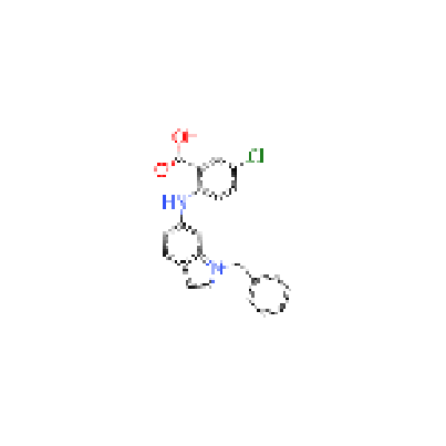 O=C(O)c1cc(Cl)ccc1Nc1ccc2ccn(Cc3ccccc3)c2c1